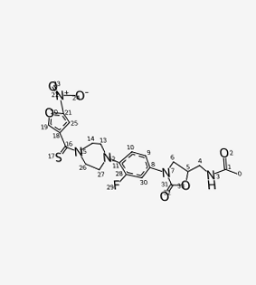 CC(=O)NCC1CN(c2ccc(N3CCN(C(=S)c4coc([N+](=O)[O-])c4)CC3)c(F)c2)C(=O)O1